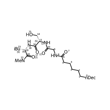 CCCCCCCCCCCCCCCC(=O)NCC(=O)N[C@@H](CO)C(=O)N[C@H](C(=O)NC)[C@@H](C)CC